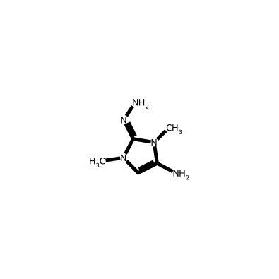 Cn1cc(N)n(C)c1=NN